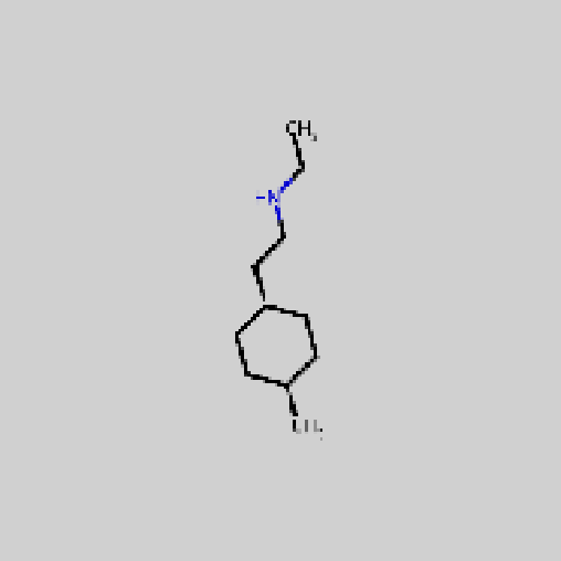 CCNCC[C@H]1CC[C@@H](C)CC1